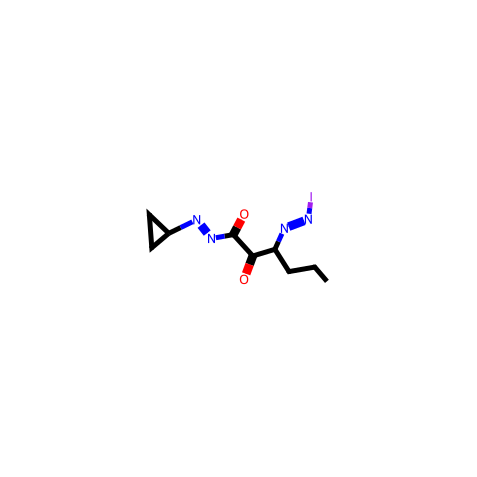 CCCC(N=NI)C(=O)C(=O)N=NC1CC1